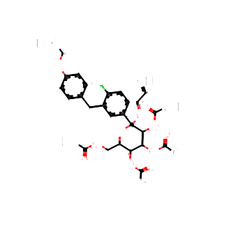 C=CCOC1(c2ccc(Cl)c(Cc3ccc(OCC)cc3)c2)OC(COC(C)=O)C(OC(C)=O)C(OC(C)=O)C1OC(C)=O